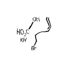 C=CCBr.O=C(O)O.[KH]